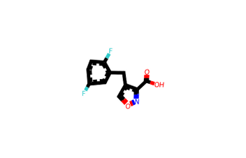 O=C(O)c1nocc1Cc1cc(F)ccc1F